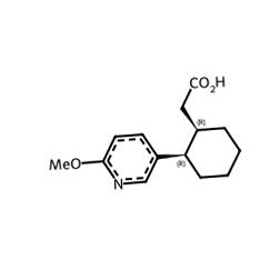 COc1ccc([C@@H]2CCCC[C@@H]2CC(=O)O)cn1